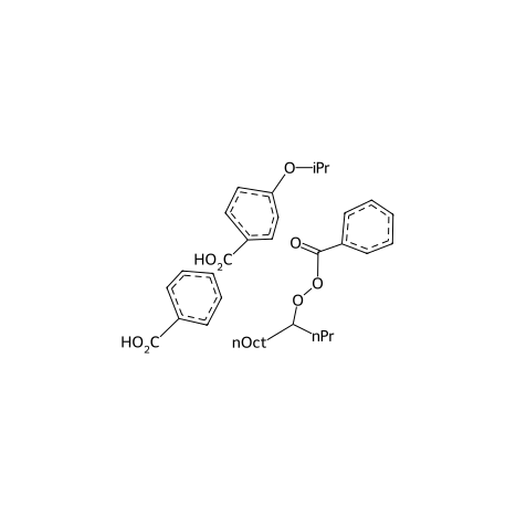 CC(C)Oc1ccc(C(=O)O)cc1.CCCCCCCCC(CCC)OOC(=O)c1ccccc1.O=C(O)c1ccccc1